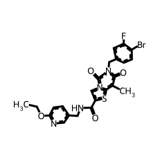 CCOc1ccc(CNC(=O)c2cn3c(=O)n(Cc4ccc(Br)c(F)c4)c(=O)c(C)c3s2)cn1